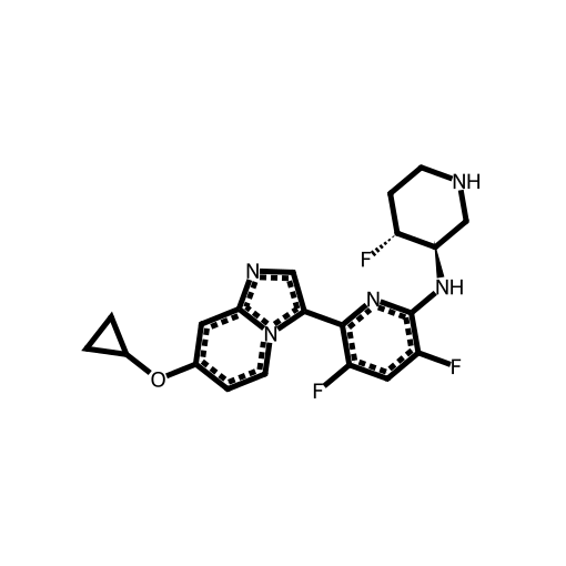 Fc1cc(F)c(-c2cnc3cc(OC4CC4)ccn23)nc1N[C@@H]1CNCC[C@H]1F